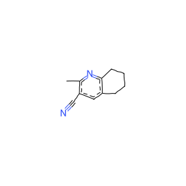 Cc1nc2c(cc1C#N)CCCC2